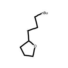 CCCCCC[CH]C1CCCO1